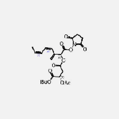 C=C(/C=C\C=C/C)[C@H](OC(=O)C[C@H](OC(C)=O)C(=O)OCC(C)C)C(=O)ON1C(=O)CCC1=O